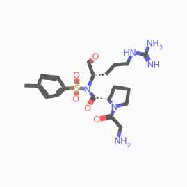 Cc1ccc(S(=O)(=O)N(C(=O)[C@@H]2CCCN2C(=O)CN)[C@H]([C]=O)CCCNC(=N)N)cc1